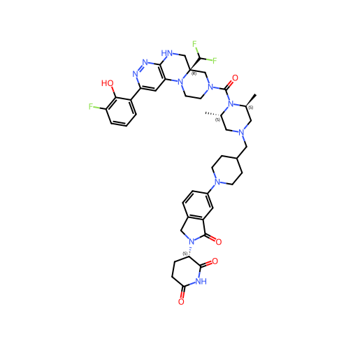 C[C@H]1CN(CC2CCN(c3ccc4c(c3)C(=O)N([C@H]3CCC(=O)NC3=O)C4)CC2)C[C@H](C)N1C(=O)N1CCN2c3cc(-c4cccc(F)c4O)nnc3NC[C@]2(C(F)F)C1